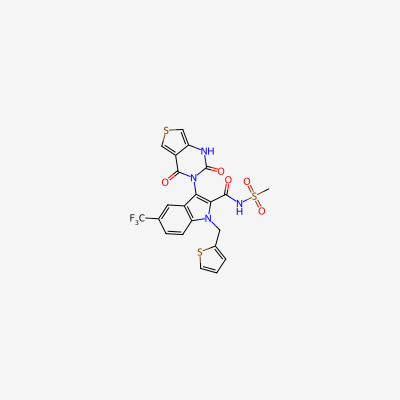 CS(=O)(=O)NC(=O)c1c(-n2c(=O)[nH]c3cscc3c2=O)c2cc(C(F)(F)F)ccc2n1Cc1cccs1